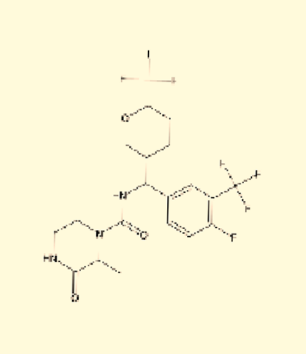 CC1C(=O)NCCN1C(=O)NC(c1ccc(F)c(C(F)(F)F)c1)C1CCC(C(F)(F)F)OC1